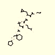 C=CCNC(=O)C(=O)C(CC1CC1)NC(=O)[C@H](I)N(C[C@@H](C)C(C)C)C(=O)[C@@H](NC(=O)NC1(CS(=O)(=O)C2CCCC2)CCCCC1)C(C)(C)C